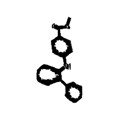 COC(=O)c1ccc(Nc2ccccc2-c2ccccc2)cc1